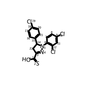 OC(=S)C1=NN(c2ccc(Cl)cc2Cl)C(c2ccc(Cl)cc2)C1